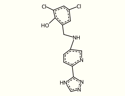 Oc1c(Cl)cc(Cl)cc1CNc1ccc(-c2nnc[nH]2)nc1